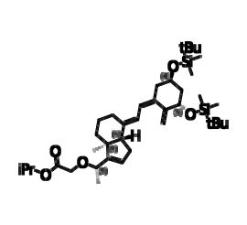 C=C1C(=CC=C2CCC[C@]3(C)C([C@H](C)OCC(=O)OC(C)C)=CC[C@@H]23)C[C@@H](O[Si](C)(C)C(C)(C)C)C[C@@H]1O[Si](C)(C)C(C)(C)C